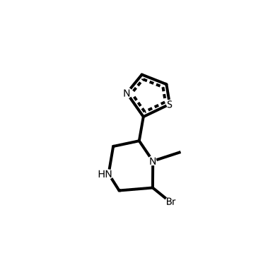 CN1C(Br)CNCC1c1nccs1